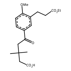 CCOC(=O)CCc1cc(C(=O)CC(C)(C)CC(=O)O)ccc1OC